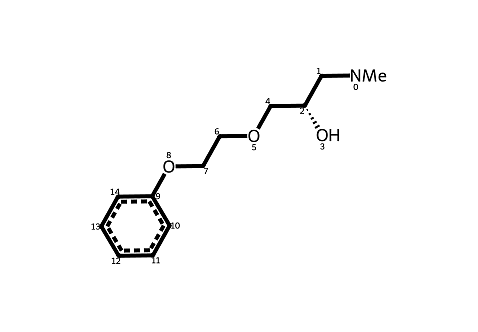 CNC[C@H](O)COCCOc1ccccc1